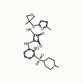 Cc1ccc([C@H](Nc2c(Nc3cccc(S(=O)(=O)N4CCN(C)CC4)c3O)c(=O)c2=O)C2(C)COC2)o1